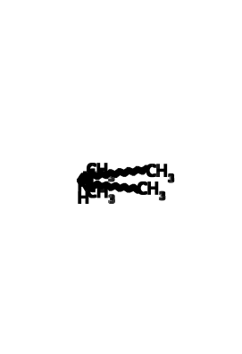 CCCCCCCCCCCCCC(C)[n+]1cc[nH]c1C(C)CCCCCCCCCCC